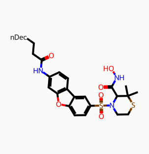 CCCCCCCCCCCCC(=O)Nc1ccc2c(c1)oc1ccc(S(=O)(=O)N3CCSC(C)(C)C3C(=O)NO)cc12